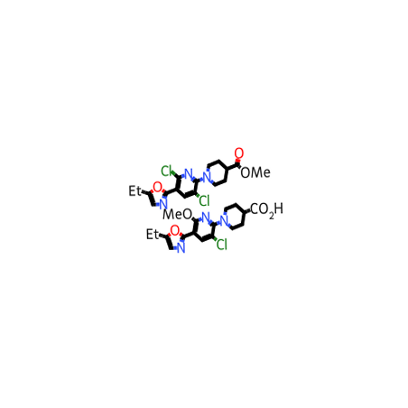 CCc1cnc(-c2cc(Cl)c(N3CCC(C(=O)O)CC3)nc2OC)o1.CCc1cnc(-c2cc(Cl)c(N3CCC(C(=O)OC)CC3)nc2Cl)o1